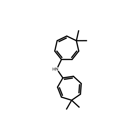 CC1(C)C=CC=C(NC2=CC=CC(C)(C)C=C2)C=C1